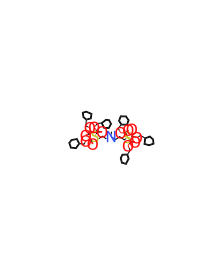 CN(CCCS(C(=O)OCc1ccccc1)(C(=O)OCc1ccccc1)C(=O)OCc1ccccc1)CCCS(C(=O)OCc1ccccc1)(C(=O)OCc1ccccc1)C(=O)OCc1ccccc1